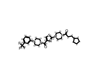 O=C(CCC1CCCC1)N1CCN(c2nc(C(=O)N3CCN(c4cccc(C(F)(F)F)c4)CC3)cs2)CC1